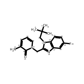 CC(C)(C)Cn1c(Cn2cccc(N)c2=O)nc2cc(F)ccc21